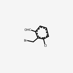 O=Cc1cccc(Cl)c1CBr